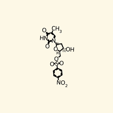 Cc1cn([C@H]2C[C@H](O)[C@@H](COS(=O)(=O)c3ccc([N+](=O)[O-])cc3)O2)c(=O)[nH]c1=O